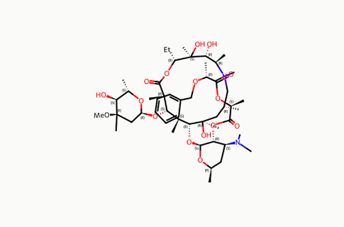 CC[C@H]1OC(=O)[C@H](C)[C@@H](O[C@H]2C[C@@](C)(OC)[C@@H](O)[C@H](C)O2)[C@H](C)[C@@H](O[C@@H]2O[C@H](C)C[C@H](N(C)C)[C@H]2OC(=O)[C@H](C)OC(=O)[C@@H](C)OCc2ccccc2)[C@](C)(O)C[C@@H](C)CN(C)[C@H](C)[C@@H](O)[C@]1(C)O